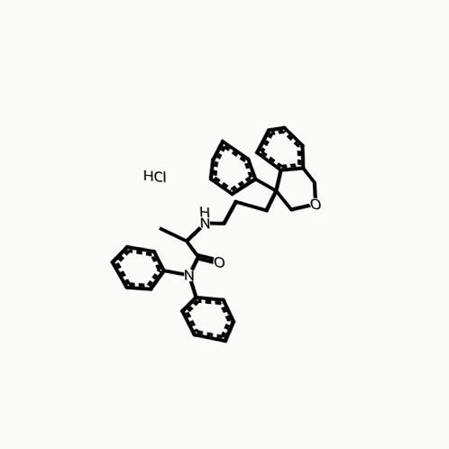 CC(NCCCC1(c2ccccc2)COCc2ccccc21)C(=O)N(c1ccccc1)c1ccccc1.Cl